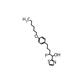 CCCCCCOc1ccc(CCCC(F)C(O)c2nccs2)cc1